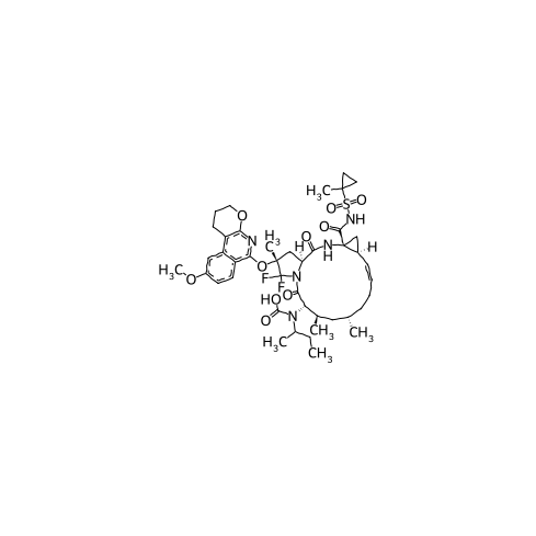 CCC(C)N(C(=O)O)[C@@H]1C(=O)N2[C@@H](C[C@@](C)(Oc3nc4c(c5cc(OC)ccc35)CCCO4)C2(F)F)C(=O)N[C@]2(C(=O)NS(=O)(=O)C3(C)CC3)C[C@H]2/C=C\CC[C@H](C)C[C@H]1C